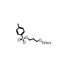 CCCCCCOCCCOS(=O)(=O)c1ccc(C)cc1